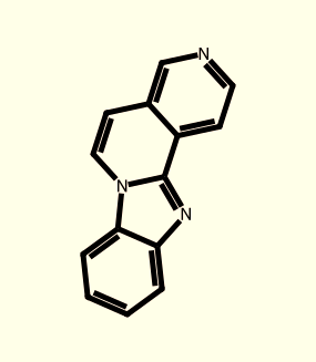 c1ccc2c(c1)nc1c3ccncc3ccn21